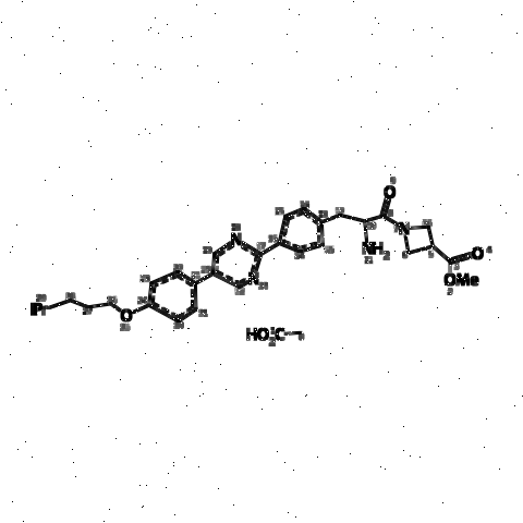 CC(=O)O.COC(=O)C1CN(C(=O)C(N)Cc2ccc(-c3ncc(-c4ccc(OCCCC(C)C)cc4)cn3)cc2)C1